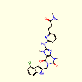 CN(C)C(=O)CCc1cccc(Nc2nc3c(c(=O)n(Cc4cc5c(Cl)cccc5[nH]4)c(=O)n3C)n2C)n1